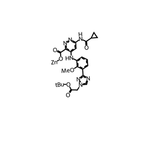 COc1c(Nc2cc(NC(=O)C3CC3)nnc2C(=O)[O][Zn])cccc1-c1ncn(CC(=O)OC(C)(C)C)n1